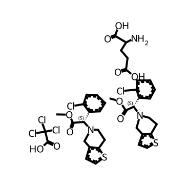 COC(=O)[C@H](c1ccccc1Cl)N1CCc2sccc2C1.COC(=O)[C@H](c1ccccc1Cl)N1CCc2sccc2C1.NC(CCC(=O)O)C(=O)O.O=C(O)C(Cl)(Cl)Cl